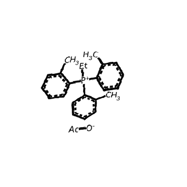 CC(=O)[O-].CC[P+](c1ccccc1C)(c1ccccc1C)c1ccccc1C